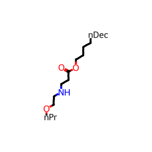 CCCCCCCCCCCCCCOC(=O)CCNCCOCCC